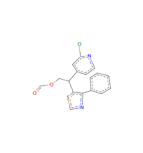 O=COCC(c1ccnc(Cl)c1)c1scnc1-c1ccccc1